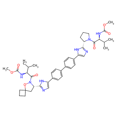 COC(=O)N[C@H](C(=O)N1CCC[C@H]1c1ncc(-c2ccc(-c3ccc(-c4cnc([C@@H]5CC6(CCC6)ON5C(=O)[C@@H](NC(=O)OC)C(C)C)[nH]4)cc3)cc2)[nH]1)C(C)C